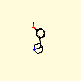 COc1cccc(C2CN3CCC2CC3)c1